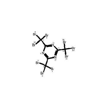 BrC(Br)(Br)c1nc(C(Br)(Br)Br)nc(C(Br)(Br)Br)n1